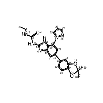 CCNC(=O)Nc1nc2cc(-c3ccc4c(c3)OC(F)(F)O4)cc(-n3cccn3)c2[nH]1